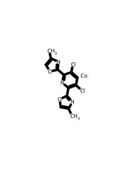 Cc1coc(-c2nc(-c3nc(C)co3)c(Cl)cc2Cl)n1.[Co]